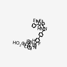 CCN(CC)C(C(=O)N1CCCC1c1ncc(-c2ccc(-c3ccc(-c4cnc([C@@H]5CCCN5C(=O)[C@H](C(C)C)N(C)C(=O)O)[nH]4)c(F)c3)cc2)[nH]1)c1ccccc1